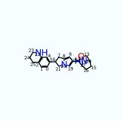 c1cc2c(cc1C1Cc3cc(C4OCC5CCC4N5)cn3C1)NCCC2